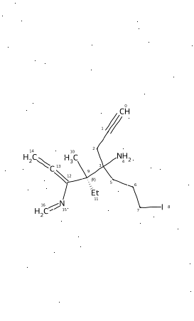 C#CCC(N)(CCCI)[C@@](C)(CC)C(=C=C)N=C